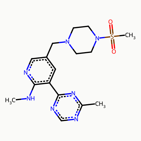 CNc1ncc(CN2CCN(S(C)(=O)=O)CC2)cc1-c1ncnc(C)n1